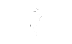 CCC(CC)N(CCSc1ccc(C(=O)O)s1)C(C)=O